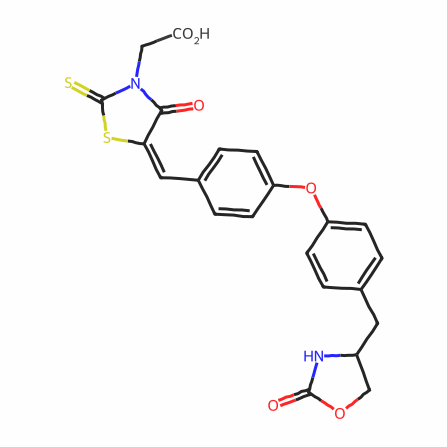 O=C(O)CN1C(=O)/C(=C\c2ccc(Oc3ccc(CC4COC(=O)N4)cc3)cc2)SC1=S